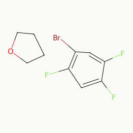 C1CCOC1.Fc1cc(F)c(Br)cc1F